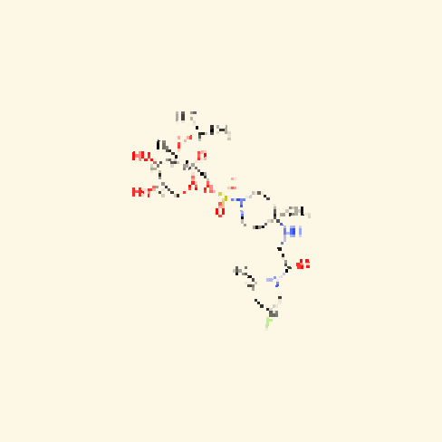 CC1(NCC(=O)N2C[C@@H](F)C[C@H]2C#N)CCN(S(=O)(=O)OC[C@@]23OC[C@@H](O)[C@@H](O)[C@@H]2OC(C)(C)O3)CC1